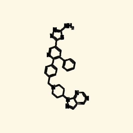 Nc1nnc(-c2cnc(-c3ccc(CN4CCC(n5ncc6cncnc65)CC4)cc3)c(-c3ccccc3)c2)s1